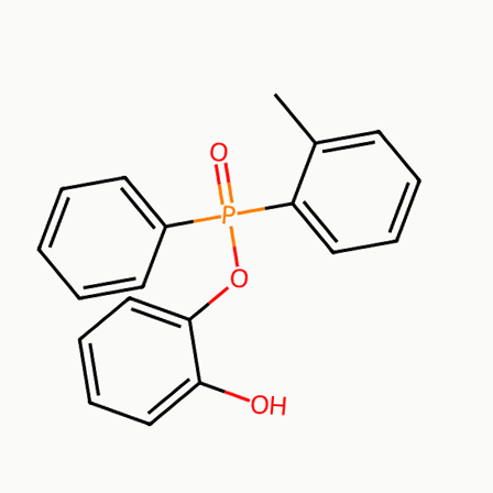 Cc1ccccc1P(=O)(Oc1ccccc1O)c1ccccc1